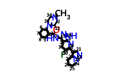 CN1CCN(c2ccccc2C(=O)Nc2n[nH]c3nc(-c4cnn5ccccc45)c(F)cc23)CC1